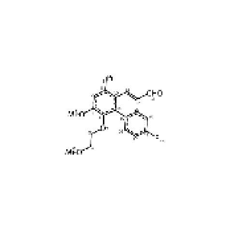 COCCOc1c(OC)cc(C(C)C)c(C=CC=O)c1-c1ccc(F)cc1